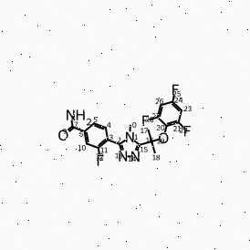 Cn1c(-c2ccc(C(N)=O)cc2F)nnc1C(C)(C)Oc1c(F)cc(F)cc1F